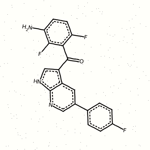 Nc1ccc(F)c(C(=O)c2c[nH]c3ncc(-c4ccc(F)cc4)cc23)c1F